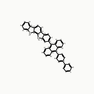 c1ccc(-c2ccc(-c3c4ccccc4c(-c4ccc5c(c4)oc4c5ccc5c6ccccc6oc54)c4ccccc34)cc2)cc1